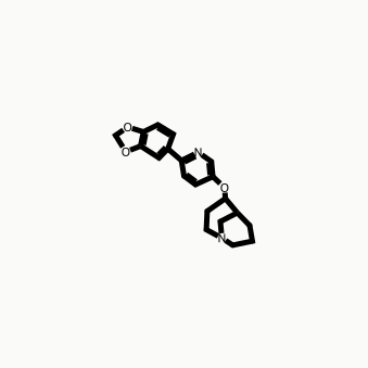 c1cc(-c2ccc3c(c2)OCO3)ncc1OC1CCN2CCCC1C2